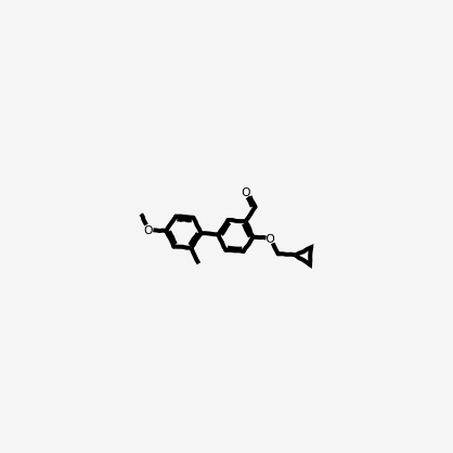 COc1ccc(-c2ccc(OCC3CC3)c(C=O)c2)c(C)c1